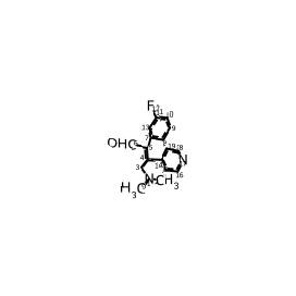 CN(C)CC(=C(C=O)c1cccc(F)c1)c1ccncc1